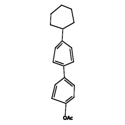 CC(=O)Oc1ccc(-c2ccc(C3CCCCC3)cc2)cc1